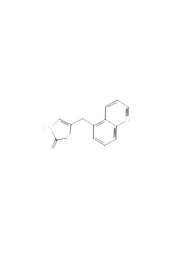 S=C1[N]C(Cc2cccc3ncccc23)=CN1